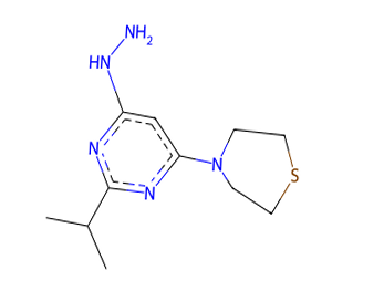 CC(C)c1nc(NN)cc(N2CCSCC2)n1